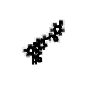 O=C1CN(C2CCN(CCCC(=O)c3ccc(F)cc3)CC2)c2c(S)cccc2N1